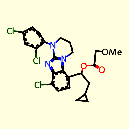 COCC(=O)OC(CC1CC1)c1ccc(Cl)c2nc3n(c12)CCCN3c1ccc(Cl)cc1Cl